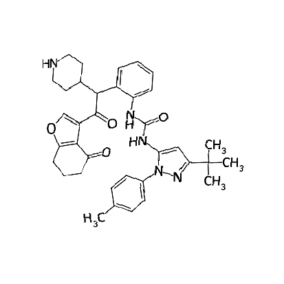 Cc1ccc(-n2nc(C(C)(C)C)cc2NC(=O)Nc2ccccc2C(C(=O)c2coc3c2C(=O)CCC3)C2CCNCC2)cc1